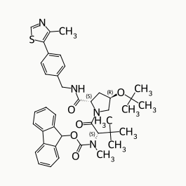 Cc1ncsc1-c1ccc(CNC(=O)[C@@H]2C[C@@H](OC(C)(C)C)CN2C(=O)[C@@H](N(C)C(=O)OC2c3ccccc3-c3ccccc32)C(C)(C)C)cc1